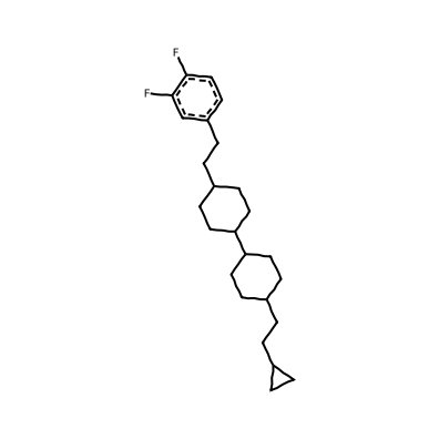 Fc1ccc(CCC2CCC(C3CCC(CCC4CC4)CC3)CC2)cc1F